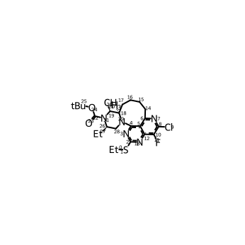 CCSc1nc2c3c(nc(Cl)c(F)c3n1)CCCC[C@@H]1[C@H](C)N(C(=O)OC(C)(C)C)[C@H](CC)CN21